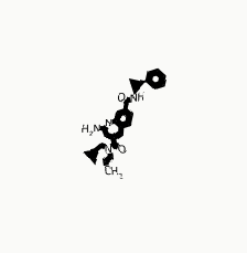 CCCN(CC1CC1)C(=O)C1=Cc2ccc(C(=O)N[C@@H]3C[C@H]3c3ccccc3)cc2N=C(N)C1